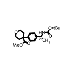 COC(=O)C1(c2ccc([C@@H](C)NC(=O)OC(C)(C)C)cc2)CCOCC1